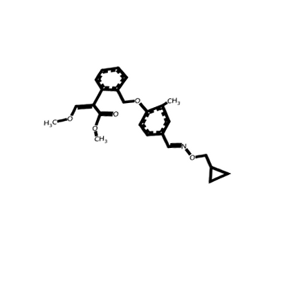 CO/C=C(\C(=O)OC)c1ccccc1COc1ccc(/C=N/OCC2CC2)cc1C